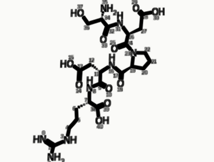 N=C(N)NCCC[C@H](NC(=O)[C@H](CC(=O)O)NC(=O)[C@@H]1CCCN1C(=O)[C@H](CC(=O)O)NC(=O)[C@@H](N)CO)C(=O)O